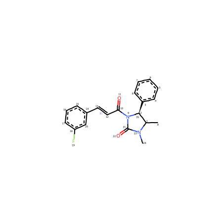 CC1[C@H](c2ccccc2)N(C(=O)/C=C/c2cccc(F)c2)C(=O)N1C